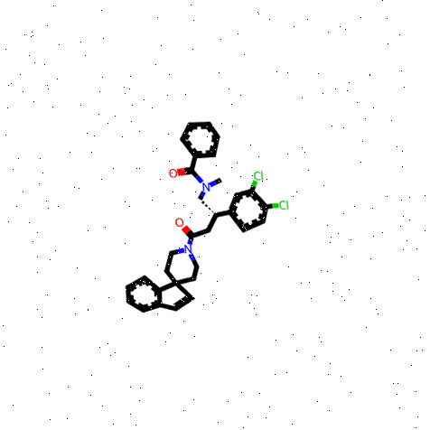 CN(C[C@@H](CC(=O)N1CCC2(C=Cc3ccccc32)CC1)c1ccc(Cl)c(Cl)c1)C(=O)c1ccccc1